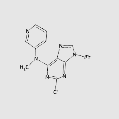 CC(C)n1cnc2c(N(C)c3cccnc3)nc(Cl)nc21